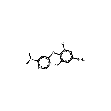 CN(C)c1cc(Oc2c(Cl)cc(N)cc2Cl)ncn1